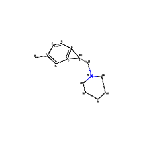 Cc1ccc2c(c1)[C@H]2CN1CCCCC1